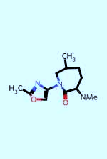 CNC1CCC(C)CN(c2coc(C)n2)C1=O